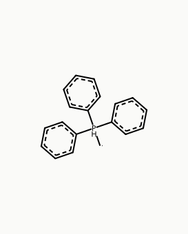 [CH2][PH](c1ccccc1)(c1ccccc1)c1ccccc1